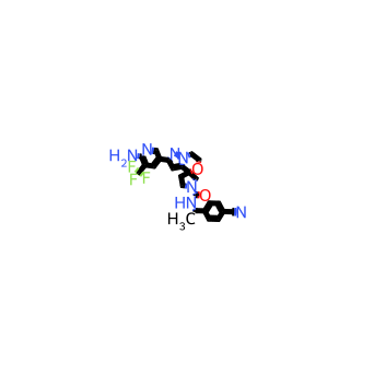 CC(NC(=O)N1CCC2(C1)OCCn1nc(-c3cnc(N)c(C(F)(F)F)c3)cc12)c1ccc(C#N)cc1